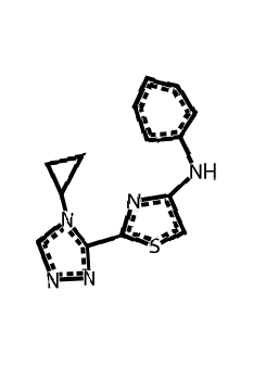 c1ccc(Nc2csc(-c3nncn3C3CC3)n2)cc1